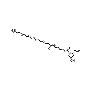 NCCOCCOCCOCCOCCC(=O)NCCCCCC(=O)N1C[C@H](O)C[C@H]1CO